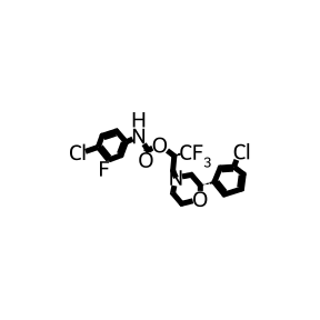 O=C(Nc1ccc(Cl)c(F)c1)O[C@@H](CN1CCO[C@@H](c2cccc(Cl)c2)C1)C(F)(F)F